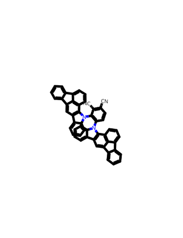 N#Cc1ccc(-n2c3ccccc3c3cc4c5c(cccc5c32)-c2ccccc2-4)c(-n2c3ccccc3c3cc4c5c(cccc5c32)-c2ccccc2-4)c1C#N